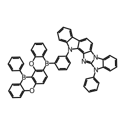 c1ccc(B2c3ccccc3Oc3ccc4c(c32)Oc2ccccc2B4c2cccc(-n3c4ccccc4c4ccc5c(nc6n(-c7ccccc7)c7ccccc7n56)c43)c2)cc1